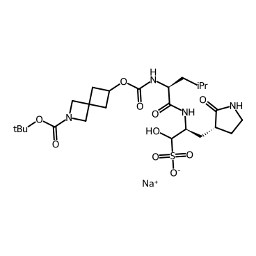 CC(C)C[C@H](NC(=O)OC1CC2(C1)CN(C(=O)OC(C)(C)C)C2)C(=O)N[C@@H](C[C@H]1CCNC1=O)C(O)S(=O)(=O)[O-].[Na+]